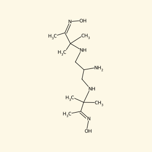 CC(=NO)C(C)(C)NCC(N)CNC(C)(C)C(C)=NO